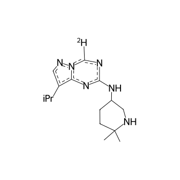 [2H]c1nc(NC2CCC(C)(C)NC2)nc2c(C(C)C)cnn12